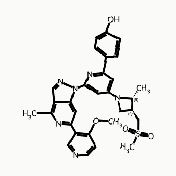 COc1ccncc1-c1cc2c(cnn2-c2cc(N3C[C@H](CS(C)(=O)=O)[C@H]3C)cc(-c3ccc(O)cc3)n2)c(C)n1